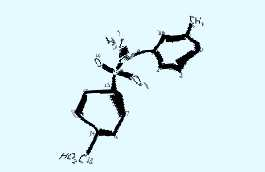 Cc1cccc(N(C)S(=O)(=O)c2ccc(C(=O)O)cc2)c1